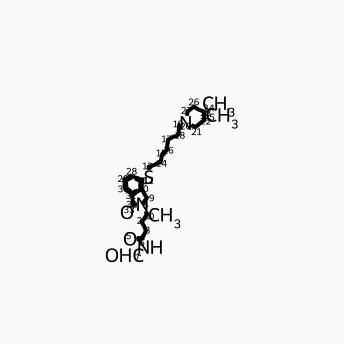 CC(CCC(=O)NC=O)N1Cc2c(SCCCCCCCN3CCC(C)(C)CC3)cccc2C1=O